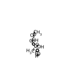 CCC[C@H](c1ccc(C(=O)NCCC(=O)OCC)cc1)[C@H](C(=O)O)c1ccc(OC(F)(F)F)cc1